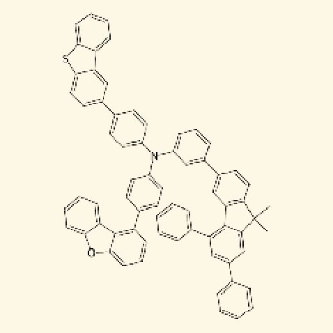 CC1(C)c2ccc(-c3cccc(N(c4ccc(-c5ccc6sc7ccccc7c6c5)cc4)c4ccc(-c5cccc6oc7ccccc7c56)cc4)c3)cc2-c2c(-c3ccccc3)cc(-c3ccccc3)cc21